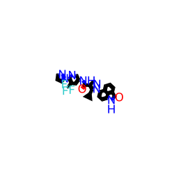 O=C(Nc1cnc(-n2cccn2)c(C(F)(F)F)c1)c1cnn(-c2ccc3c4c(cccc24)C(=O)N3)c1C1CC1